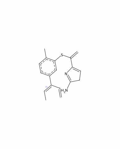 C=C/C(=C\C)c1ccc(C)c(SC(=C)C2=CCC(N)=N2)c1